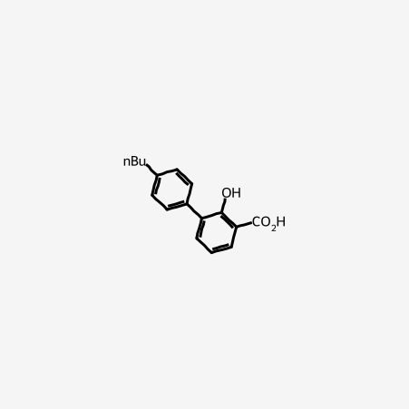 CCCCc1ccc(-c2cccc(C(=O)O)c2O)cc1